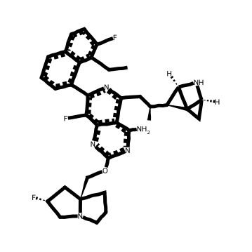 CCc1c(F)ccc2cccc(-c3nc(C[C@H](C)[C@H]4[C@H]5N[C@H]6CC465)c4c(N)nc(OC[C@@]56CCCN5C[C@H](F)C6)nc4c3F)c12